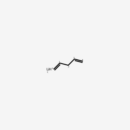 C=CCC=C.[LiH]